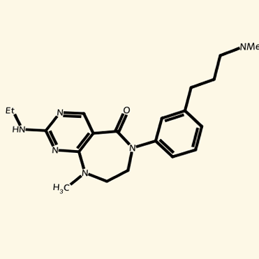 CCNc1ncc2c(n1)N(C)CCN(c1cccc(CCCNC)c1)C2=O